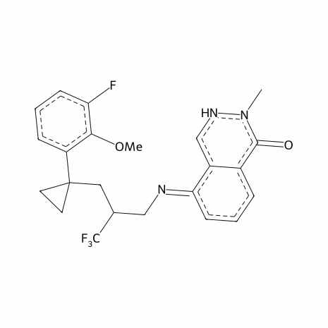 COc1c(F)cccc1C1(CC(CN=c2cccc3c(=O)n(C)[nH]cc2-3)C(F)(F)F)CC1